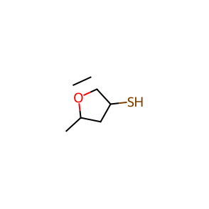 CC.CC1CC(S)CO1